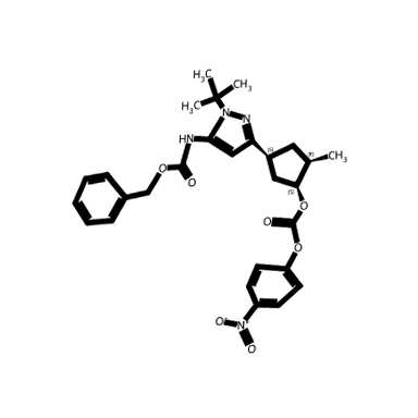 C[C@@H]1C[C@H](c2cc(NC(=O)OCc3ccccc3)n(C(C)(C)C)n2)C[C@@H]1OC(=O)Oc1ccc([N+](=O)[O-])cc1